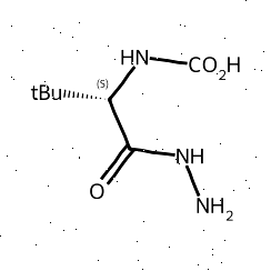 CC(C)(C)[C@H](NC(=O)O)C(=O)NN